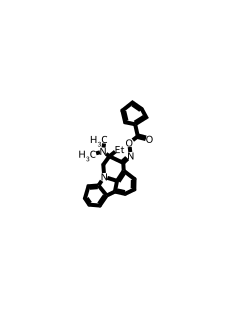 CCC1(N(C)C)Cn2c3ccccc3c3cccc(c32)/C1=N/OC(=O)c1ccccc1